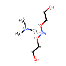 CN(C)C.OCCONOCCO